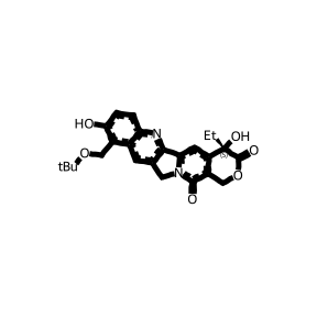 CC[C@@]1(O)C(=O)OCc2c1cc1n(c2=O)Cc2cc3c(COC(C)(C)C)c(O)ccc3nc2-1